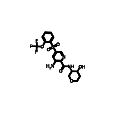 Nc1cc(S(=O)(=O)c2ccccc2OC(F)(F)F)cnc1C(=O)N[C@@H]1COCC[C@@H]1O